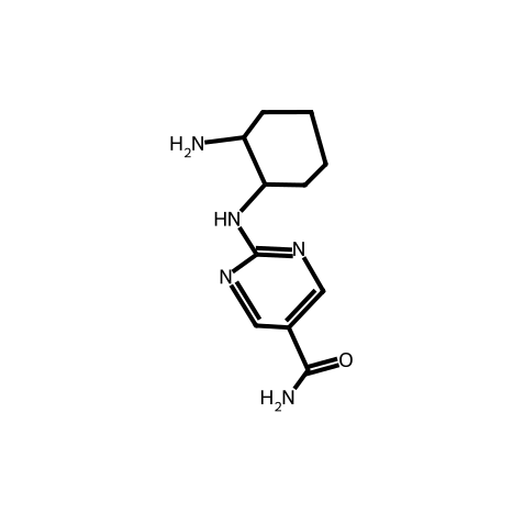 NC(=O)c1cnc(NC2CCCCC2N)nc1